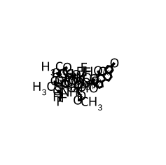 CC(=O)OCC1O[C@@H](O[C@@H]2C(COC(C)=O)O[C@@H](OCC(=O)[C@@]3(O)CCC4C5CCC6=CC(=O)C=C[C@]6(C)C5C(=O)C[C@@]43C)C(NC(=O)C(F)(F)F)[C@H]2OC(C)=O)C(NC(=O)C(F)(F)F)[C@@H](OC(C)=O)[C@@H]1OC(C)=O